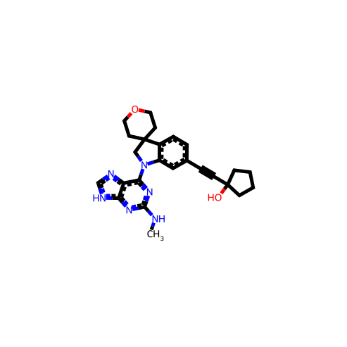 CNc1nc(N2CC3(CCOCC3)c3ccc(C#CC4(O)CCCC4)cc32)c2nc[nH]c2n1